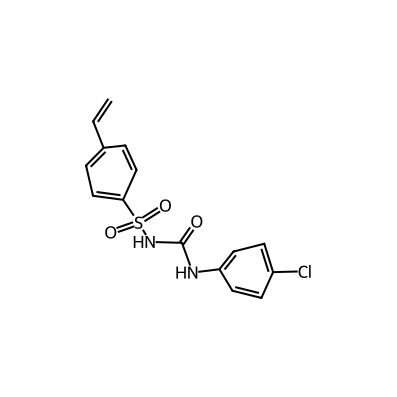 C=Cc1ccc(S(=O)(=O)NC(=O)Nc2ccc(Cl)cc2)cc1